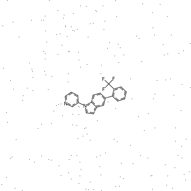 FC(F)(F)c1ccccc1-c1ccc2c(ccn2-c2cccnc2)c1